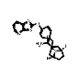 NC(=O)N1C[C@H]2CC[C@@H](C1)N2CCC1C=CC(Oc2nc3cccnc3s2)=CC1